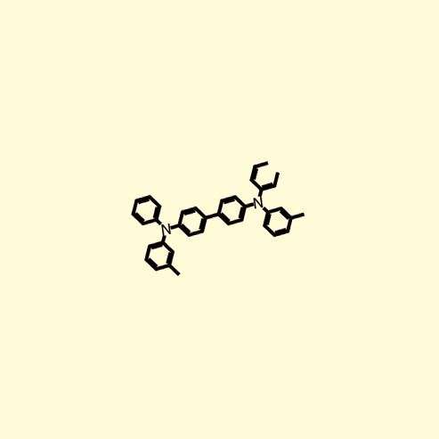 C/C=C\C(=C/C)N(c1ccc(-c2ccc(N(c3ccccc3)c3cccc(C)c3)cc2)cc1)c1cccc(C)c1